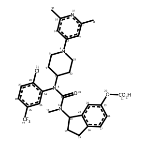 Cc1cc(N2CCC(N(C(=O)N(C)C3CCc4ccc(OC(=O)O)cc43)c3cc(C(F)(F)F)ccc3Cl)CC2)cc(C)n1